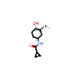 C[C@H]1C[C@@H](NC(=O)C2CC2)CC[C@@H]1O